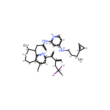 C=C(CC1c2nc(C(=C)C(=C)CC(C)(I)I)cc(C)c2CCC[C@H]1CC)Nc1cc(NCC[C@@H](CCC)C2=CC2)ccn1